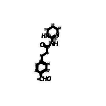 O=Cc1ccc(CCC(=O)NC2=NCCCN2)cc1